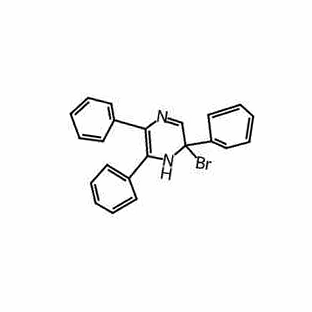 BrC1(c2ccccc2)C=NC(c2ccccc2)=C(c2ccccc2)N1